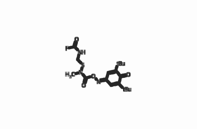 CN(SCNC(=O)F)C(=O)ON=C1C=C(C(C)(C)C)C(=O)C(C(C)(C)C)=C1